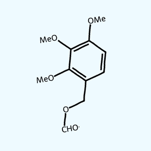 COc1ccc(CO[C]=O)c(OC)c1OC